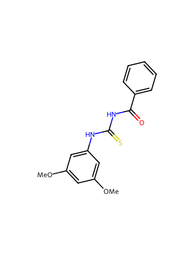 COc1cc(NC(=S)NC(=O)c2ccccc2)cc(OC)c1